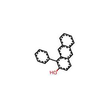 Oc1ccc2cc3ccccc3cc2c1-c1ccccc1